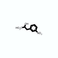 O=C(O)C(O)Cc1cccc([N+](=O)[O-])c1